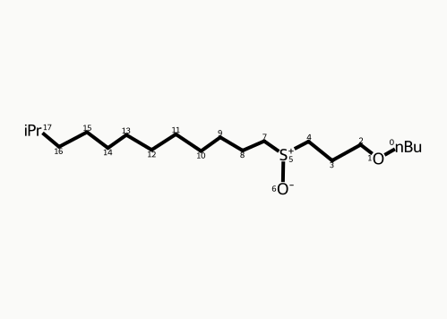 CCCCOCCC[S+]([O-])CCCCCCCCCCC(C)C